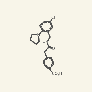 O=C(Cc1ccc(C(=O)O)cc1)NCc1cc(Cl)ccc1N1CCCC1